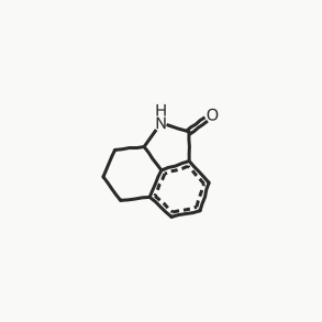 O=C1NC2CCCc3cccc1c32